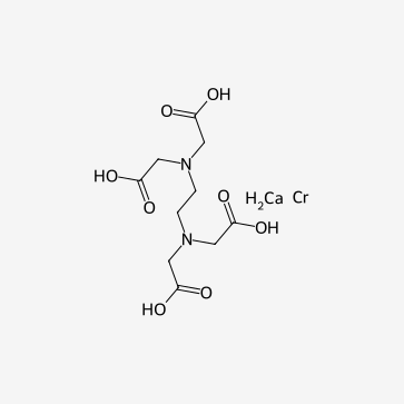 O=C(O)CN(CCN(CC(=O)O)CC(=O)O)CC(=O)O.[CaH2].[Cr]